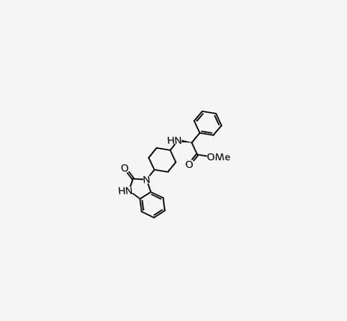 COC(=O)[C@@H](NC1CCC(n2c(=O)[nH]c3ccccc32)CC1)c1ccccc1